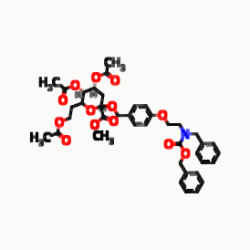 COC(=O)[C@@]1(OCc2ccc(OCCN(Cc3ccccc3)C(=O)OCc3ccccc3)cc2)C[C@@H](OC(C)=O)[C@@H](OC(C)=O)C(CCOC(C)=O)O1